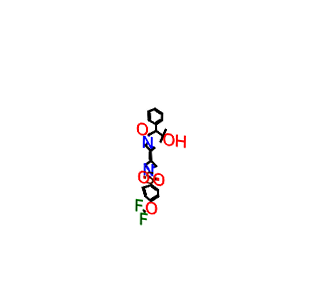 CC(C)(O)C(C(=O)N1CC(=C2CN(S(=O)(=O)c3ccc(OC(F)F)cc3)C2)C1)c1ccccc1